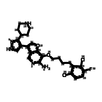 Nc1ncc2c(-c3c[nH]nc3C3CCNCC3)coc2c1OCCCCc1c(Cl)ccc(F)c1Cl